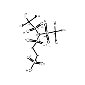 O=S(=O)(O)CCS(=O)(=O)N(S(=O)(=O)C(F)(F)F)S(=O)(=O)C(F)(F)F